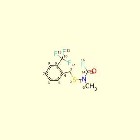 CN(SCc1ccccc1C(F)(F)F)C(=O)F